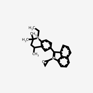 CCN1c2ccc(C3=[N+](C4CO4)c4cccc5cccc3c45)cc2C(C)CC1(C)C